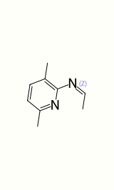 C/C=N\c1nc(C)ccc1C